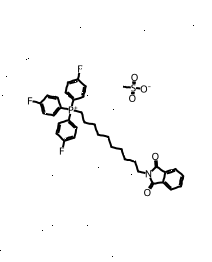 CS(=O)(=O)[O-].O=C1c2ccccc2C(=O)N1CCCCCCCCCC[P+](c1ccc(F)cc1)(c1ccc(F)cc1)c1ccc(F)cc1